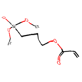 C=CC(=O)OCCC[Si]([O])(OCC)OCC